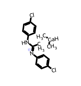 C/C(=N\c1ccc(Cl)cc1)Nc1ccc(Cl)cc1.[CH3][GaH][CH3]